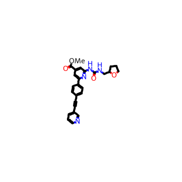 COC(=O)c1cc(NC(=O)NCC2CCCO2)nc(-c2ccc(C#Cc3cccnc3)cc2)c1